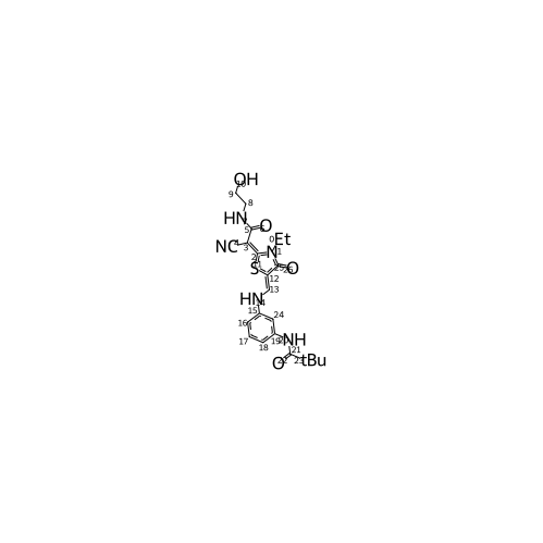 CCn1c(=C(C#N)C(=O)NCCO)sc(=CNc2cccc(NC(=O)C(C)(C)C)c2)c1=O